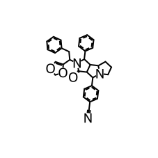 N#Cc1ccc(C2C3C(=O)N(C(Cc4ccccc4)C4=COCO4)C(c4ccccc4)C3C3CCCN32)cc1